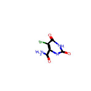 NC(=O)C1=C(Br)C(=O)NC(=O)[N]1